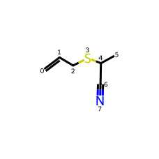 C=CCSC(C)C#N